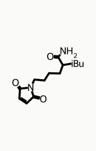 CCC(C)C(CCCCN1C(=O)C=CC1=O)C(N)=O